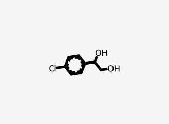 OCC(O)c1ccc(Cl)cc1